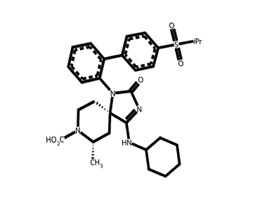 CC(C)S(=O)(=O)c1ccc(-c2ccccc2N2C(=O)N=C(NC3CCCCC3)[C@]23CCN(C(=O)O)[C@@H](C)C3)cc1